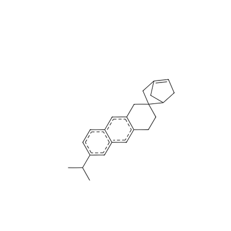 CC(C)c1ccc2cc3c(cc2c1)CCC1(CC2=CCC1C2)C3